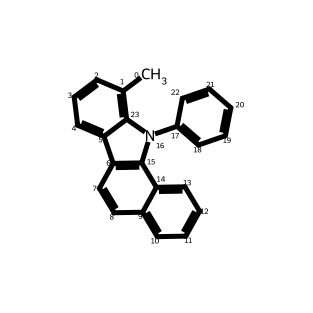 Cc1cccc2c3ccc4ccccc4c3n(-c3ccccc3)c12